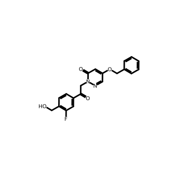 O=C(Cn1ncc(OCc2ccccc2)cc1=O)c1ccc(CO)c(F)c1